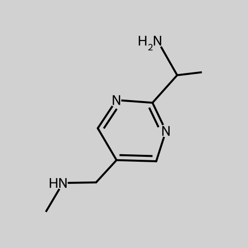 CNCc1cnc(C(C)N)nc1